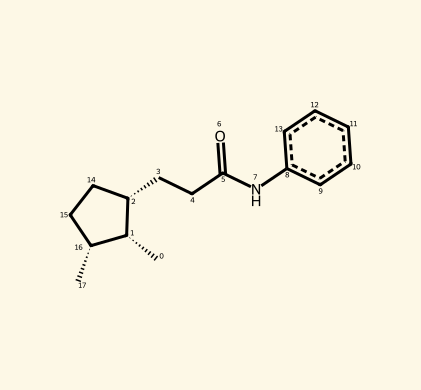 C[C@H]1[C@@H](CCC(=O)Nc2ccccc2)CC[C@H]1C